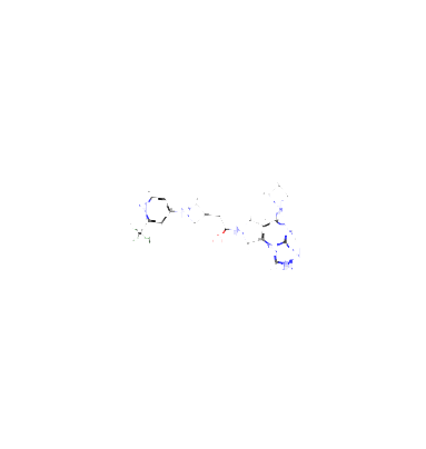 O=C(CC1CN(c2ccnc(C(F)(F)F)c2)C1)N1Cc2c(N3CCC3)nc3nncn3c2C1